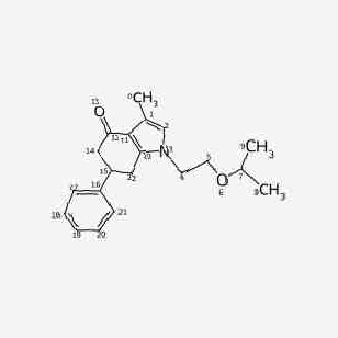 Cc1cn(CCOC(C)C)c2c1C(=O)CC(c1ccccc1)C2